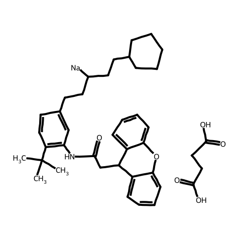 CC(C)(C)c1ccc(CC[CH]([Na])CCC2CCCCC2)cc1NC(=O)CC1c2ccccc2Oc2ccccc21.O=C(O)CCC(=O)O